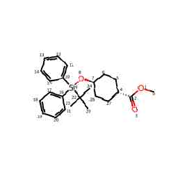 COC(=O)[C@H]1CC[C@H](O[Si](c2ccccc2)(c2ccccc2)C(C)(C)C)CC1